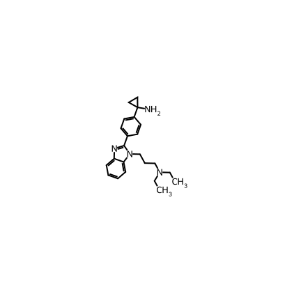 CCN(CC)CCCn1c(-c2ccc(C3(N)CC3)cc2)nc2ccccc21